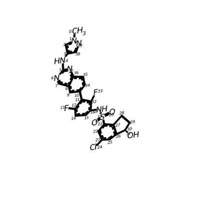 Cn1cc(Nc2ncc3cc(-c4c(F)ccc(NS(=O)(=O)c5cc(Cl)cc6c5CC[C@H]6O)c4F)ccc3n2)cn1